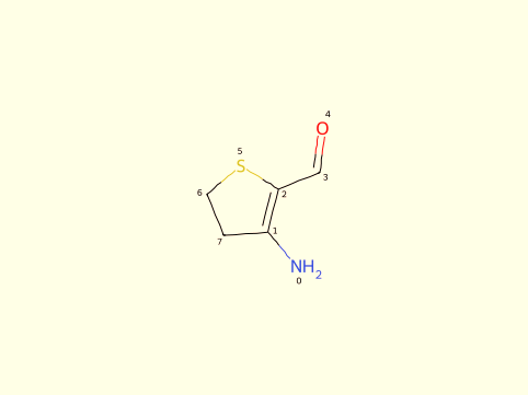 NC1=C(C=O)SCC1